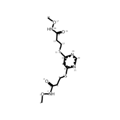 CONC(=O)CCSc1cc(SCCC(=O)NOC)ncn1